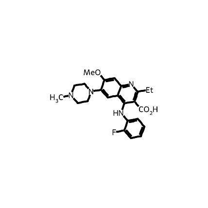 CCc1nc2cc(OC)c(N3CCN(C)CC3)cc2c(Nc2ccccc2F)c1C(=O)O